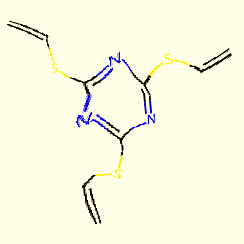 C=CSc1nc(SC=C)nc(SC=C)n1